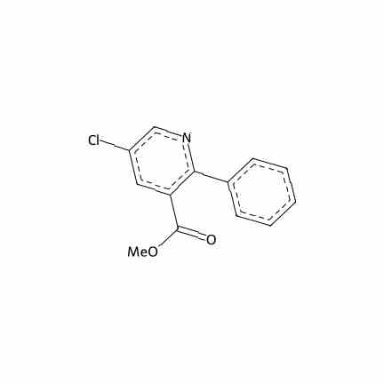 COC(=O)c1cc(Cl)cnc1-c1ccccc1